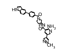 Cn1cc(-c2cnc(N)c(C(=O)N[C@@H]3CCN(C(=O)c4ccc(-c5ccc6[nH]ccc6c5)cc4)C3)c2)cn1